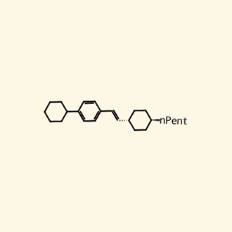 CCCCC[C@H]1CC[C@H](C=Cc2ccc(C3CCCCC3)cc2)CC1